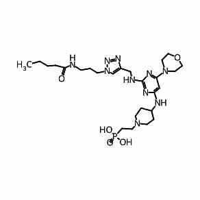 CCCCC(=O)NCCCn1cc(CNc2nc(NC3CCN(CCP(=O)(O)O)CC3)cc(N3CCOCC3)n2)nn1